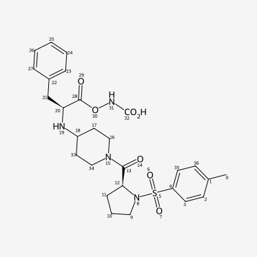 Cc1ccc(S(=O)(=O)N2CCC[C@H]2C(=O)N2CCC(N[C@@H](Cc3ccccc3)C(=O)ONC(=O)O)CC2)cc1